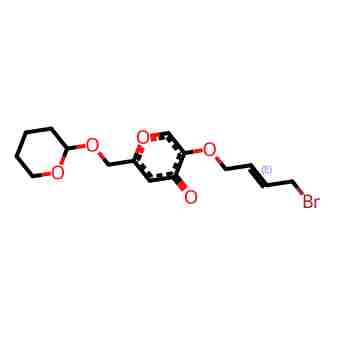 O=c1cc(COC2CCCCO2)occ1OC/C=C/CBr